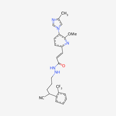 COc1nc(C=CC(=O)NNCCCC(C#N)c2ccccc2C(F)(F)F)ccc1-n1cnc(C)c1